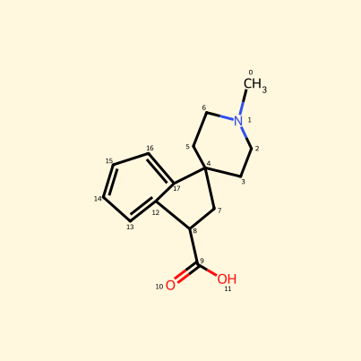 CN1CCC2(CC1)CC(C(=O)O)c1ccccc12